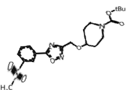 CC(C)(C)OC(=O)N1CCC(OCc2noc(-c3cccc(S(C)(=O)=O)c3)n2)CC1